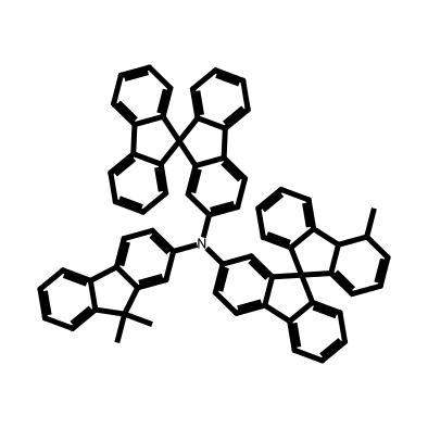 CC1C=CC=C2C1c1ccccc1C21c2ccccc2-c2ccc(N(c3ccc4c(c3)C(C)(C)c3ccccc3-4)c3ccc4c(c3)C3(c5ccccc5-c5ccccc53)c3ccccc3-4)cc21